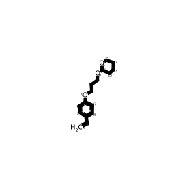 C=Cc1ccc(OCCCOC2CCCCO2)cc1